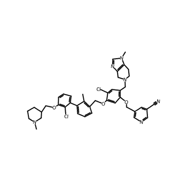 Cc1c(COc2cc(OCc3cncc(C#N)c3)c(CN3CCc4c(ncn4C)C3)cc2Cl)cccc1-c1cccc(OCC2CCCN(C)C2)c1Cl